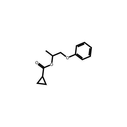 CC(COc1ccccc1)OC(=O)C1CC1